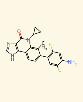 Cc1c(-c2cc(F)c(N)cc2F)ccc2c3[nH]cnc3c(=O)n(C3CC3)c12